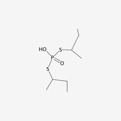 CCC(C)SP(=O)(O)SC(C)CC